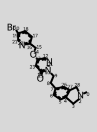 CN1CCc2ccc(CCn3ncc(OCc4ccc(Br)cn4)cc3=O)cc2C1